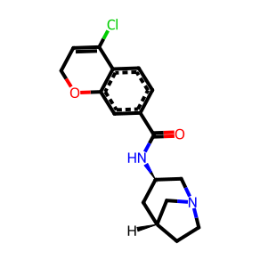 O=C(N[C@@H]1C[C@H]2CCN(C2)C1)c1ccc2c(c1)OCC=C2Cl